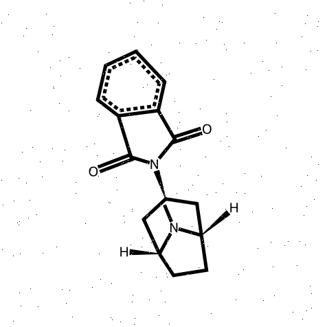 CN1[C@@H]2CC[C@H]1C[C@H](N1C(=O)c3ccccc3C1=O)C2